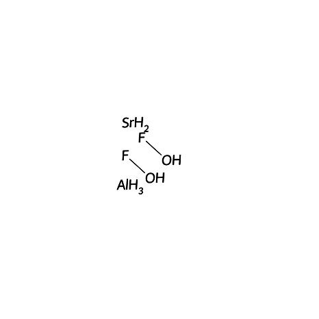 OF.OF.[AlH3].[SrH2]